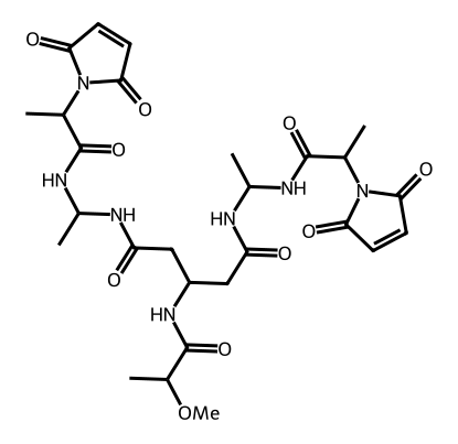 COC(C)C(=O)NC(CC(=O)NC(C)NC(=O)C(C)N1C(=O)C=CC1=O)CC(=O)NC(C)NC(=O)C(C)N1C(=O)C=CC1=O